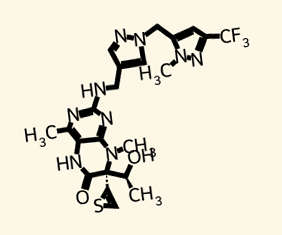 Cc1nc(NCc2cnn(Cc3cc(C(F)(F)F)nn3C)c2)nc2c1NC(=O)[C@](C1=CS1)([C@H](C)O)N2C